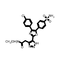 CN(O)C(=O)Cc1nn[nH]c1-c1nc(-c2ccc(Cl)cc2)c(-c2ccc(S(N)(=O)=O)cc2)o1